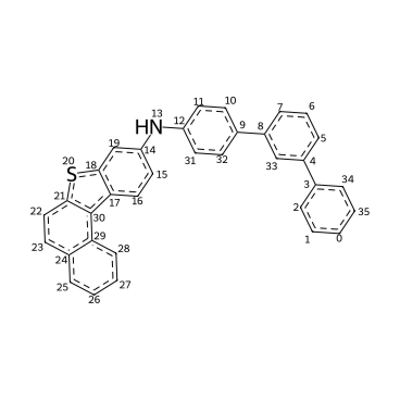 c1ccc(-c2cccc(-c3ccc(Nc4ccc5c(c4)sc4ccc6ccccc6c45)cc3)c2)cc1